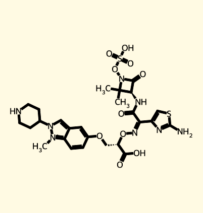 C[n+]1c2ccc(OC[C@H](O/N=C(\C(=O)N[C@@H]3C(=O)N(OS(=O)(=O)O)C3(C)C)c3csc(N)n3)C(=O)O)cc2cn1C1CCNCC1